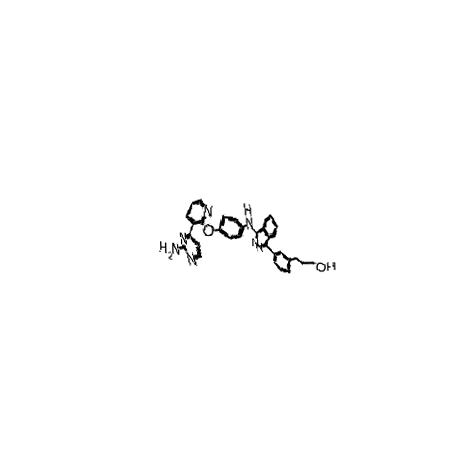 Nc1nccc(-c2cccnc2Oc2ccc(Nc3nnc(-c4cccc(CCCO)c4)c4ccccc34)cc2)n1